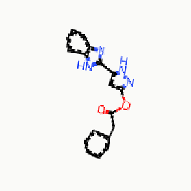 O=C(Cc1ccccc1)Oc1cc(-c2nc3ccccc3[nH]2)[nH]n1